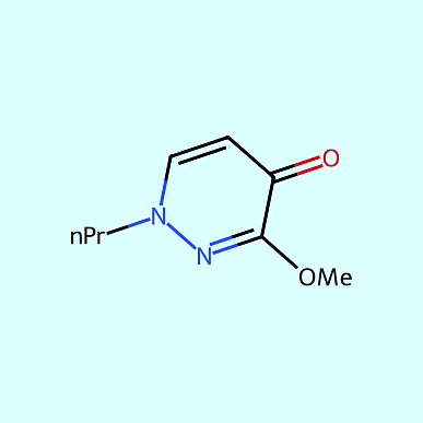 CCCn1ccc(=O)c(OC)n1